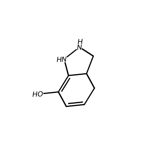 OC1=C2NNCC2CC=C1